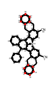 N#Cc1cc2c(c3c1C1c4ccccc4C3c3ccccc31)c1c(-c3ccccc3)c3ccccc3c3c4c5c(c(C#N)cc4n2c13)C1c2ccccc2C5c2ccccc21